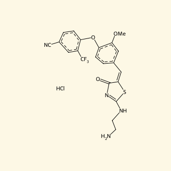 COc1cc(C=C2SC(NCCN)=NC2=O)ccc1Oc1ccc(C#N)cc1C(F)(F)F.Cl